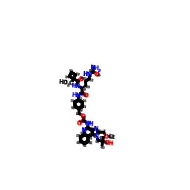 CCOCc1nc2c(NC(=O)OCc3ccc(NC(=O)[C@H](CCCNC(N)=O)NC(=O)C4(C(=O)O)CCC4)cc3)nc3ccccc3c2n1CC(C)(C)O